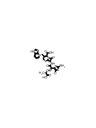 C[C@H](O/N=C(\C(=O)N[C@@H]1C(=O)N2C(C(=O)O)=C(C[n+]3cccc4[nH]cnc43)CSC12)c1nc(N)sc1Cl)C(=O)O